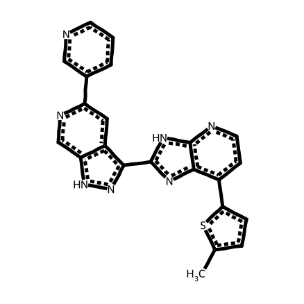 Cc1ccc(-c2ccnc3[nH]c(-c4n[nH]c5cnc(-c6cccnc6)cc45)nc23)s1